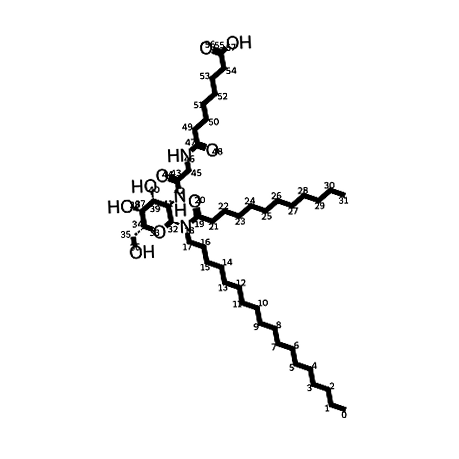 CCCCCCCCCCCCCCCCCCN(C(=O)CCCCCCCCCCC)[C@@H]1O[C@H](CO)[C@@H](O)[C@H](O)[C@@H]1NC(=O)CNC(=O)CCCCCCC(=O)O